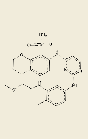 COCCNc1cc(Nc2nccc(Nc3ccc4c(c3S(N)(=O)=O)OCCC4)n2)ccc1C